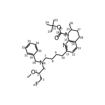 CO[C@H](CF)CN(CCCCc1ccc2c(n1)N(C(=O)OC(C)(C)C)C(C)CC2)Cc1ccccc1